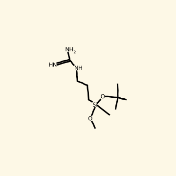 CO[Si](C)(CCCNC(=N)N)OC(C)(C)C